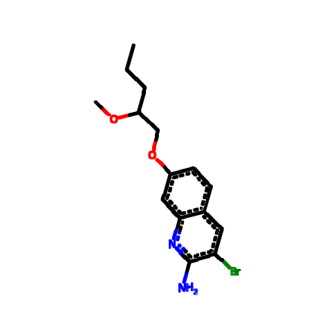 CCCC(COc1ccc2cc(Br)c(N)nc2c1)OC